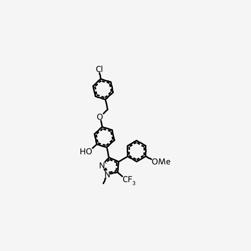 COc1cccc(-c2c(-c3ccc(OCc4ccc(Cl)cc4)cc3O)nn(C)c2C(F)(F)F)c1